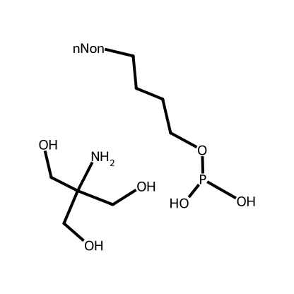 CCCCCCCCCCCCCOP(O)O.NC(CO)(CO)CO